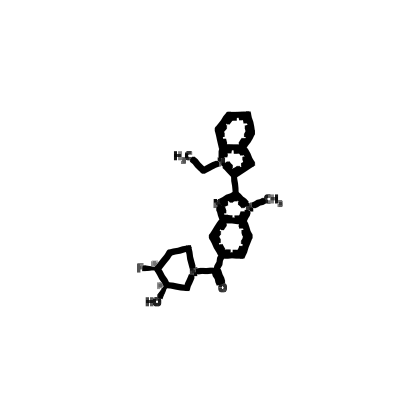 CCn1c(-c2nc3cc(C(=O)N4CC[C@H](F)[C@H](O)C4)ccc3n2C)cc2ccccc21